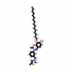 CCCCCCCCCCCCCCCCOc1cccc(CN(C(C)=O)c2cccc(C[n+]3csc(C)c3)c2)c1.[Br-]